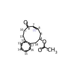 CC(=O)OC1C/C=C\C(=O)[C]Cc2ccccc2C1